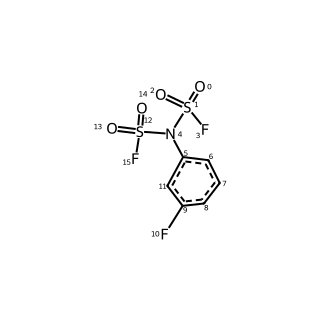 O=S(=O)(F)N(c1cccc(F)c1)S(=O)(=O)F